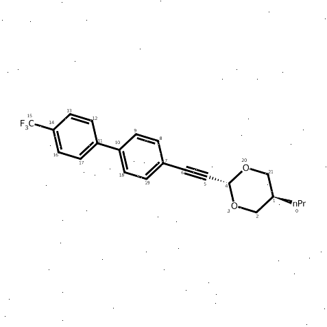 CCC[C@H]1CO[C@H](C#Cc2ccc(-c3ccc(C(F)(F)F)cc3)cc2)OC1